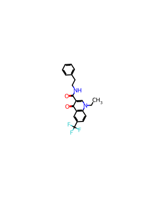 CCn1cc(C(=O)NCCc2ccccc2)c(=O)c2cc(C(F)(F)F)ccc21